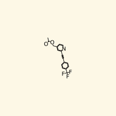 CC(=O)OCc1ccnc(C#Cc2ccc(C(F)(F)F)cc2)c1